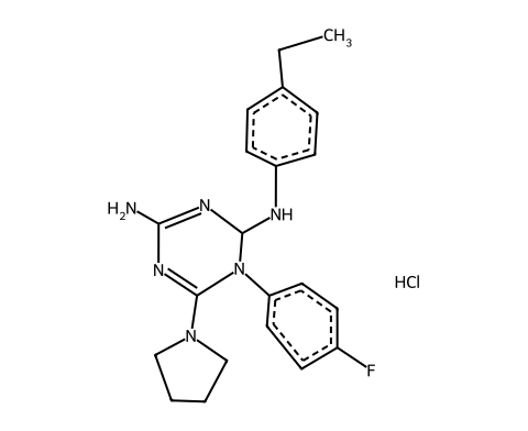 CCc1ccc(NC2N=C(N)N=C(N3CCCC3)N2c2ccc(F)cc2)cc1.Cl